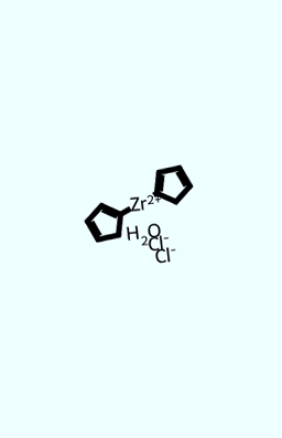 C1=CC[C]([Zr+2][C]2=CC=CC2)=C1.O.[Cl-].[Cl-]